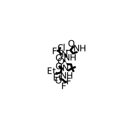 CCC(CC)C(NC(=O)C(F)F)C(=O)N1CC(C)(C)C[C@H]1C(=O)NN(C[C@@H]1CCNC1=O)C(=O)C(F)Cl